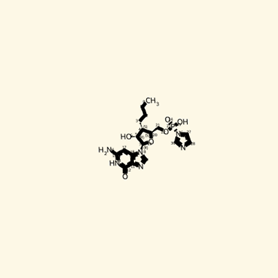 CCCC[C@H]1[C@@H](O)[C@H](n2cnc3c(=O)[nH]c(N)cc32)O[C@@H]1COP(=O)(O)n1ccnc1